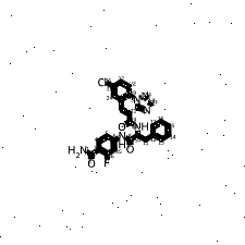 NC(=O)c1ccc(NC(=O)C(Cc2ccccc2)NC(=O)C=Cc2cc(Cl)ccc2-n2cnnn2)cc1F